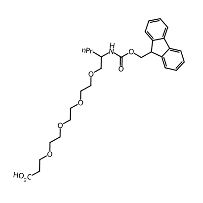 CCCC(COCCOCCOCCOCCC(=O)O)NC(=O)OCC1c2ccccc2-c2ccccc21